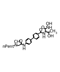 CCCCCN(C)CC(=O)Nc1ccc(-c2ccc(C(=O)N[C@H](C(=O)NO)[C@@H](C)O)cc2)cc1